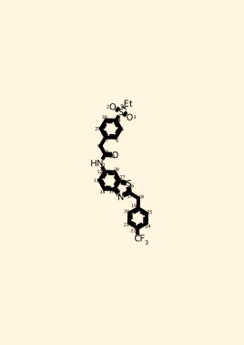 CCS(=O)(=O)c1ccc(CC(=O)Nc2ccc3nc(Cc4ccc(C(F)(F)F)cc4)sc3c2)cc1